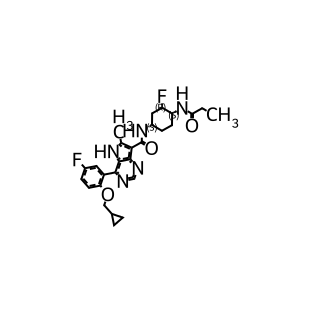 CCC(=O)N[C@H]1CC[C@H](NC(=O)c2c(C)[nH]c3c(-c4cc(F)ccc4OCC4CC4)ncnc23)C[C@H]1F